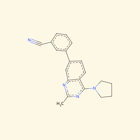 Cc1nc(N2CCCC2)c2ccc(-c3cccc(C#N)c3)cc2n1